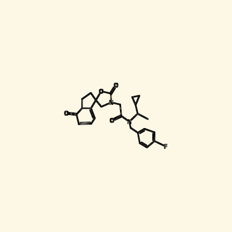 CC(C1CC1)N(Cc1ccc(F)cc1)C(=O)CN1CC2(CCC3C(=O)C=CC=C32)OC1=O